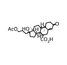 CC(=O)OCCC[C@]1(O)CC[C@H]2[C@@H]3[C@H](C(=O)O)CC4=CC(=O)CC[C@]4(C)[C@H]3CC[C@@]21C